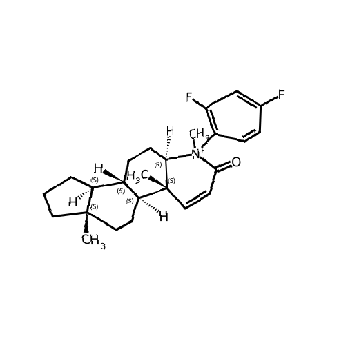 C[C@@]12CCC[C@H]1[C@@H]1CC[C@@H]3[C@](C)(C=CC(=O)[N+]3(C)c3ccc(F)cc3F)[C@H]1CC2